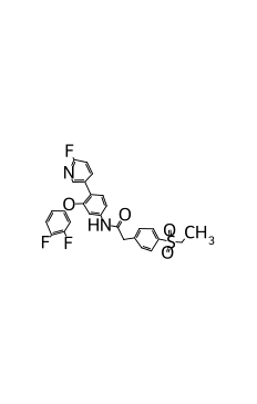 CCS(=O)(=O)c1ccc(CC(=O)Nc2ccc(-c3ccc(F)nc3)c(Oc3ccc(F)c(F)c3)c2)cc1